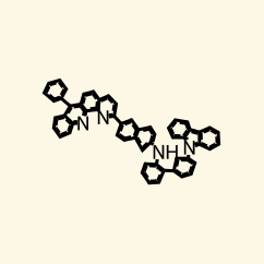 c1ccc(-c2c3ccccc3nc3c2ccc2ccc(-c4ccc5cc(Nc6ccccc6-c6cccc(-n7c8ccccc8c8ccccc87)c6)ccc5c4)nc23)cc1